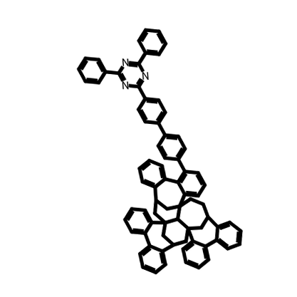 c1ccc(-c2nc(-c3ccccc3)nc(-c3ccc(-c4ccc(-c5cccc6c5-c5ccccc5C5CC78CC(CC9%10CC(CCC6(C5)C97)c5ccccc5-c5ccccc5%10)c5ccccc5-c5ccccc58)cc4)cc3)n2)cc1